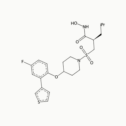 CC(C)C[C@@H](CS(=O)(=O)N1CCC(Oc2ccc(F)cc2-c2ccsc2)CC1)C(=O)NO